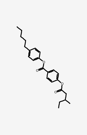 CCCCCc1ccc(OC(=O)c2ccc(OC(=O)CC(C)CC)cc2)cc1